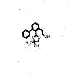 CC1(C)COC(c2c(CCO)cccc2-c2ccccc2)=N1